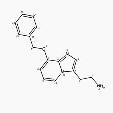 NCCc1cnc2c(OCc3ccccc3)cccn12